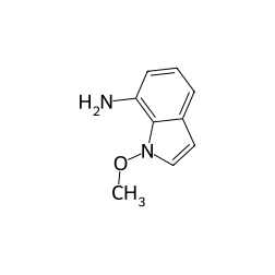 COn1ccc2cccc(N)c21